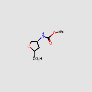 CC(C)(C)OC(=O)N[C@@H]1CO[C@H](C(=O)O)C1